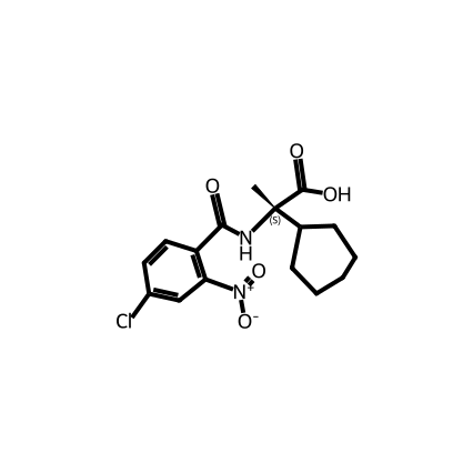 C[C@@](NC(=O)c1ccc(Cl)cc1[N+](=O)[O-])(C(=O)O)C1CCCCC1